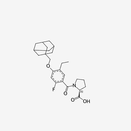 CCc1cc(C(=O)N2CCC[C@H]2C(=O)O)c(F)cc1OCC12CC3CC(CC(C3)C1)C2